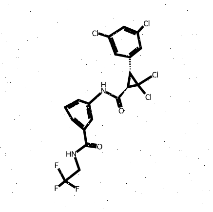 O=C(NCC(F)(F)F)c1cccc(NC(=O)[C@H]2[C@H](c3cc(Cl)cc(Cl)c3)C2(Cl)Cl)c1